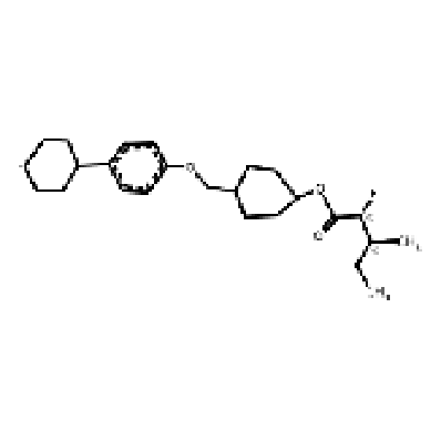 CC[C@H](C)[C@H](F)C(=O)OC1CCC(COc2ccc(C3CC[CH]CC3)cc2)CC1